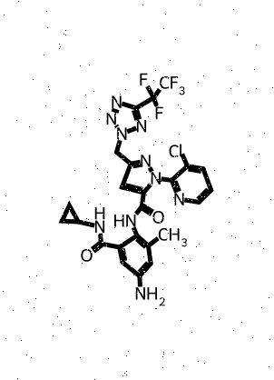 Cc1cc(N)cc(C(=O)NC2CC2)c1NC(=O)c1cc(Cn2nnc(C(F)(F)C(F)(F)F)n2)nn1-c1ncccc1Cl